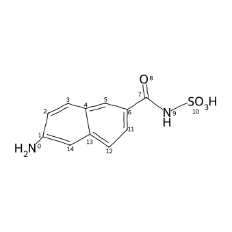 Nc1ccc2cc(C(=O)NS(=O)(=O)O)ccc2c1